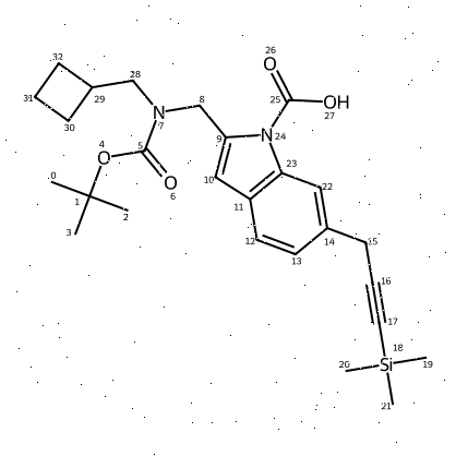 CC(C)(C)OC(=O)N(Cc1cc2ccc(CC#C[Si](C)(C)C)cc2n1C(=O)O)CC1CCC1